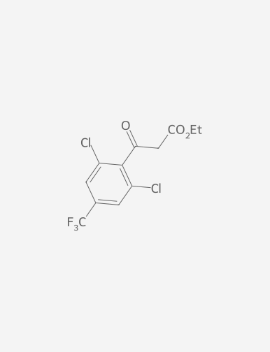 CCOC(=O)CC(=O)c1c(Cl)cc(C(F)(F)F)cc1Cl